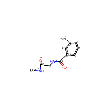 CCCc1cccc(C(=O)NCC(=O)NCC)c1